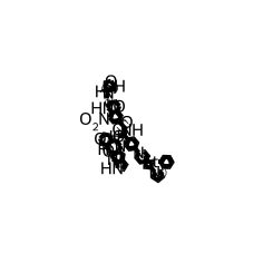 CCc1ccccc1[C@@H]1CCCN1C1CC2(CCN(c3ccc(C(=O)NS(=O)(=O)c4cc5c(c([N+](=O)[O-])c4)N[C@H](CN4C[C@@H]6C[C@H]4CO6)CO5)c(N4C[C@@H]5CCOC[C@@H]5Oc5nc6[nH]ccc6cc54)c3)CC2)C1